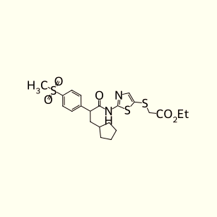 CCOC(=O)CSc1cnc(NC(=O)C(CC2CCCC2)c2ccc(S(C)(=O)=O)cc2)s1